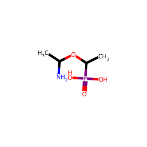 CC(N)OC(C)P(=O)(O)O